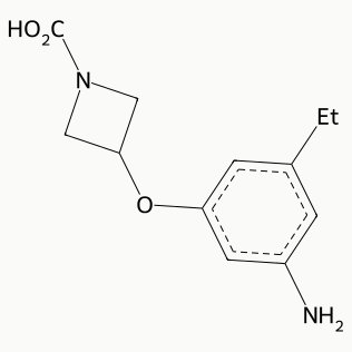 CCc1cc(N)cc(OC2CN(C(=O)O)C2)c1